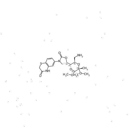 CO[C@@]1(C)O[C@H]([C@@H]2CN(c3ccc4c(c3)NC(=O)CS4)C(=O)O2)[C@@H](CN)O[C@]1(C)OC